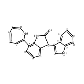 O=C1Nc2c(C3=CC=CC=CN3)cccc2C1c1c[nH]c2ncccc12